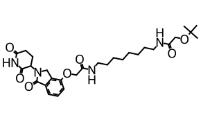 CC(C)(C)OCC(=O)NCCCCCCCCNC(=O)COc1cccc2c1CN(C1CCC(=O)NC1=O)C2=O